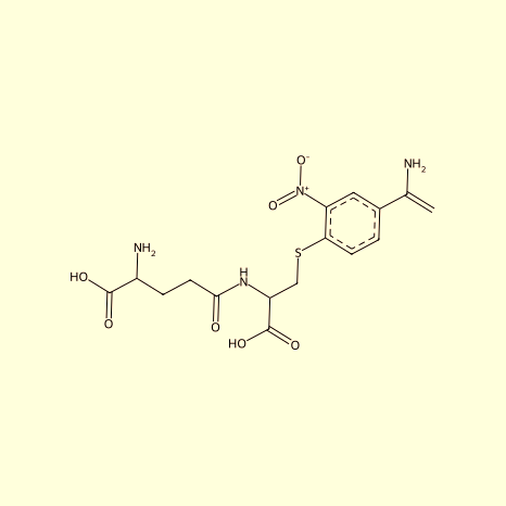 C=C(N)c1ccc(SCC(NC(=O)CCC(N)C(=O)O)C(=O)O)c([N+](=O)[O-])c1